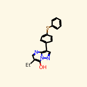 CCc1cnc2c(-c3ccc(Sc4ccccc4)cc3)cnn2c1O